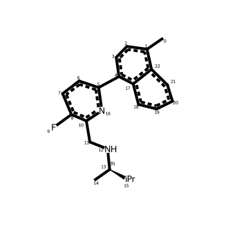 Cc1ccc(-c2ccc(F)c(CN[C@H](C)C(C)C)n2)c2ccccc12